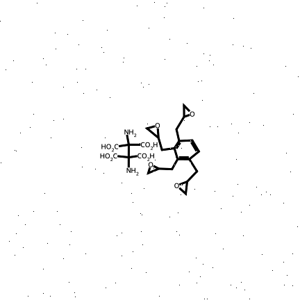 NC(C(=O)O)(C(=O)O)C(N)(C(=O)O)C(=O)O.c1cc(CC2CO2)c(CC2CO2)c(CC2CO2)c1CC1CO1